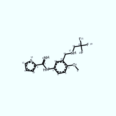 COc1ccc(NC(=N)c2cccs2)cc1CNCC(F)(F)F